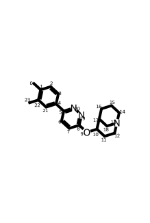 Cc1ccc(-c2ccc(OC3CCN4CCCC3C4)nn2)cc1C